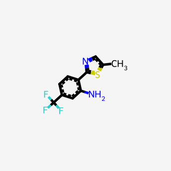 Cc1cnc(-c2ccc(C(F)(F)F)cc2N)s1